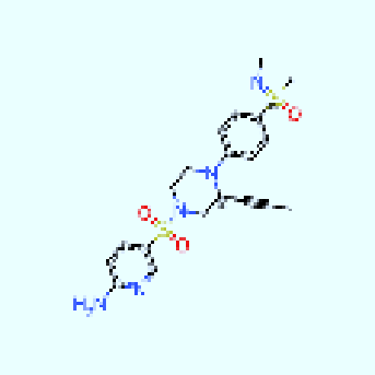 CC#C[C@H]1CN(S(=O)(=O)c2ccc(N)nc2)CCN1c1ccc([S@@](C)(=O)=NC)cc1